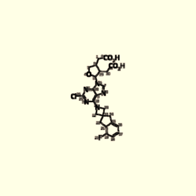 O=C(O)CC1COC(n2cnc3c(N4CC5(Cc6cccc(F)c6C5)C4)nc(Cl)nc32)C1CC(=O)O